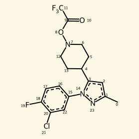 Cc1cc(C2CCN(OC(=O)C(F)(F)F)CC2)n(-c2ccc(F)c(Cl)c2)n1